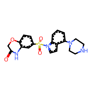 O=C1COc2ccc(S(=O)(=O)n3ccc4c(N5CCNCC5)cccc43)cc2N1